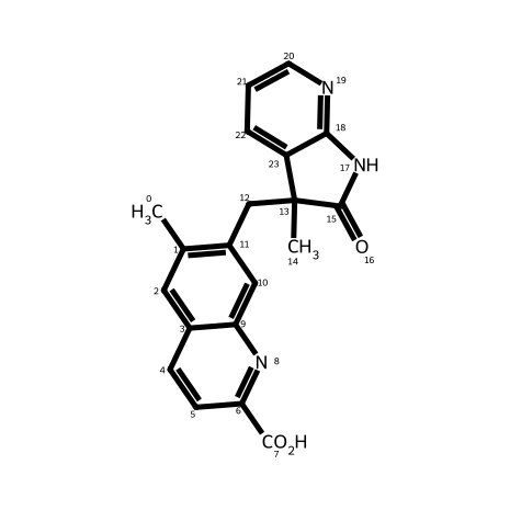 Cc1cc2ccc(C(=O)O)nc2cc1CC1(C)C(=O)Nc2ncccc21